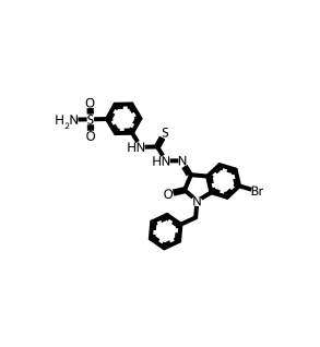 NS(=O)(=O)c1cccc(NC(=S)NN=C2C(=O)N(Cc3ccccc3)c3cc(Br)ccc32)c1